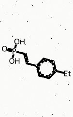 CCc1ccc(C=CP(=O)(O)O)cc1